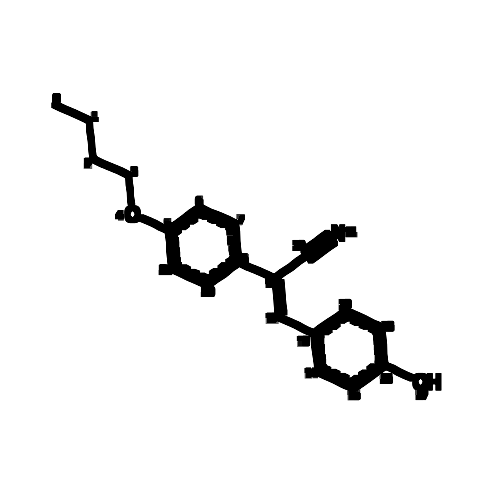 CCCCOc1ccc(C(C#N)=Cc2ccc(O)cc2)cc1